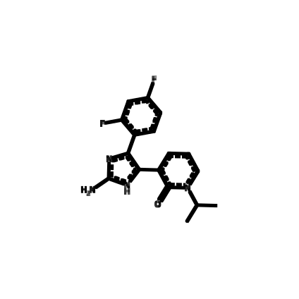 CC(C)n1cccc(-c2[nH]c(N)nc2-c2ccc(F)cc2F)c1=O